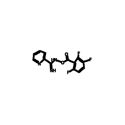 N=C(NOC(=O)c1c(F)ccc(F)c1F)c1ccccn1